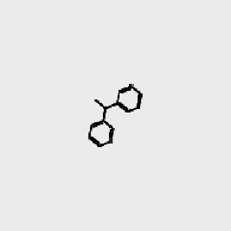 C[C](c1cccnc1)c1cccnc1